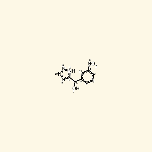 O=[N+]([O-])c1cccc(C(O)c2nnn[nH]2)c1